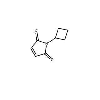 O=C1C=CC(=O)N1C1CCC1